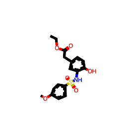 CCOC(=O)Cc1ccc(O)c(NS(=O)(=O)c2ccc(OC)cc2)c1